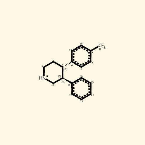 FC(F)(F)c1ccc([C@H]2CCNC[C@@H]2c2ccccc2)cc1